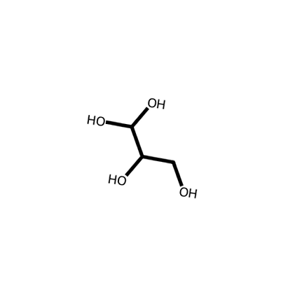 OCC(O)C(O)O